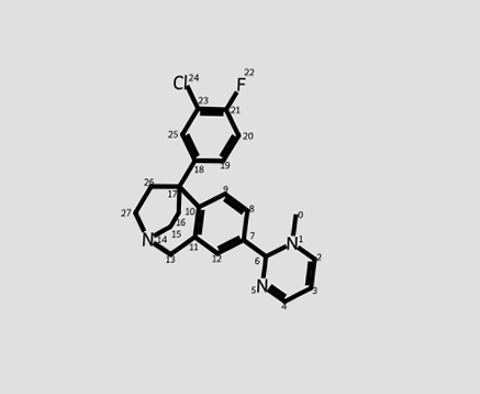 CN1C=CC=NC1c1ccc2c(c1)CN1CCC2(c2ccc(F)c(Cl)c2)CC1